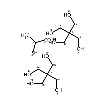 CC(S)C(=O)O.OCC(CO)(CO)CO.OCC(CO)(CO)CO